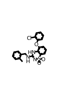 Cc1ccccc1CNC1=NS(=O)(=O)c2cccc(Oc3ccccc3Cl)c2N1